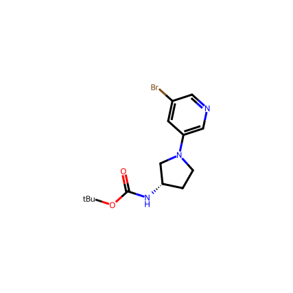 CC(C)(C)OC(=O)N[C@H]1CCN(c2cncc(Br)c2)C1